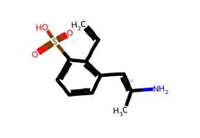 C=Cc1c(/C=C(\C)N)cccc1S(=O)(=O)O